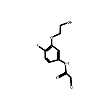 O=C(CCl)Nc1ccc(F)c(OCCO)c1